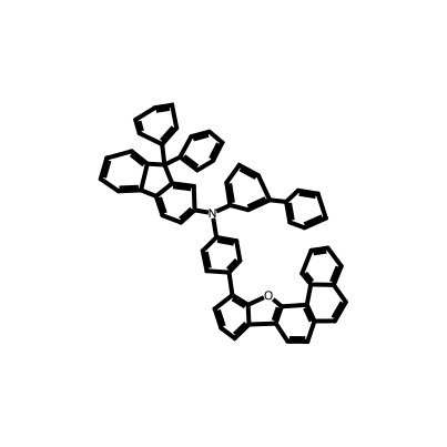 c1ccc(-c2cccc(N(c3ccc(-c4cccc5c4oc4c5ccc5ccc6ccccc6c54)cc3)c3ccc4c(c3)C(c3ccccc3)(c3ccccc3)c3ccccc3-4)c2)cc1